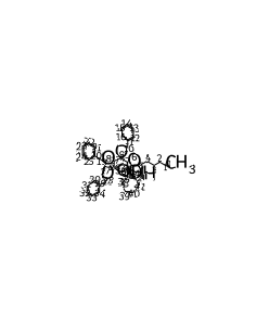 CCCCCCOC1C(OCc2ccccc2)C(OCc2ccccc2)C(OCc2ccccc2)C2(O)C3(CCCCC3)C12O